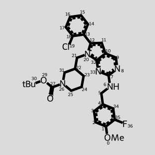 COc1ccc(CNc2ncc3cc(-c4ccccc4Cl)n(CC4CCCN(C(=O)OC(C)(C)C)C4)c3n2)cc1F